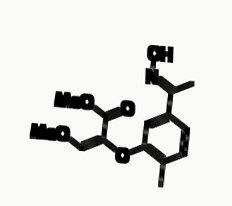 COC=C(Oc1cc(C(C)=NO)ccc1C)C(=O)OC